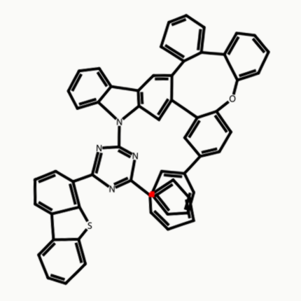 c1ccc(-c2ccc3oc4ccccc4c4ccccc4c4cc5c6ccccc6n(-c6nc(-c7ccccc7)nc(-c7cccc8c7sc7ccccc78)n6)c5cc4c3c2)cc1